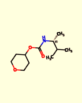 CC(C)[C@@H](C)NC(=O)OC1CCOCC1